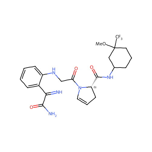 COC1(C(F)(F)F)CCCC(NC(=O)[C@@H]2CC=CN2C(=O)CNc2ccccc2C(=N)C(N)=O)C1